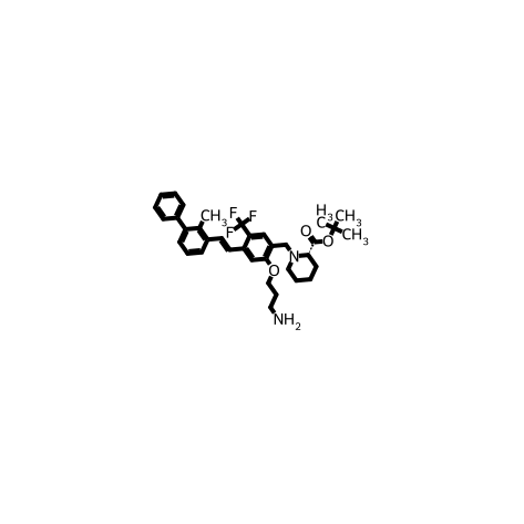 Cc1c(/C=C/c2cc(OCCCN)c(CN3CCCC[C@H]3C(=O)OC(C)(C)C)cc2C(F)(F)F)cccc1-c1ccccc1